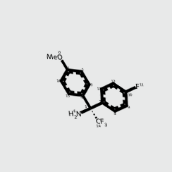 COc1ccc([C@](N)(c2ccc(F)cc2)C(F)(F)F)cc1